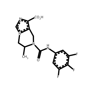 CC1Cn2cnc(C(=O)O)c2CN1C(=O)Nc1cc(F)c(F)c(F)c1